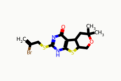 C=C(Br)CSc1nc(=O)c2c([nH]1)SC1COC(C)(C)CC21